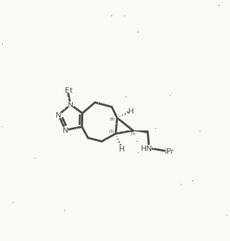 CCn1nnc2c1CC[C@@H]1[C@H](CC2)[C@@H]1CNC(C)C